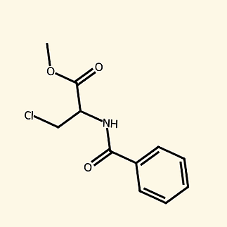 COC(=O)C(CCl)NC(=O)c1ccccc1